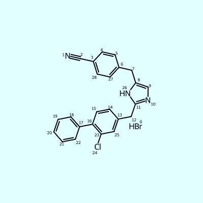 Br.N#Cc1ccc(Cc2cnc(Cc3ccc(-c4ccccc4)c(Cl)c3)[nH]2)cc1